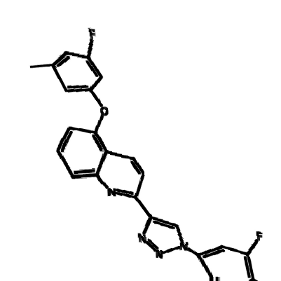 Cc1cc(F)cc(Oc2cccc3nc(-c4cn(-c5ccc(F)c(F)c5)nn4)ccc23)c1